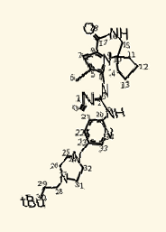 C=N/C(=N\c1c(C)cc2n1C1(CCCC1)CNC2=O)Nc1ccc(N2CCN(CCC(C)(C)C)CC2)cn1